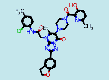 CCc1c(N2CCN(C(=O)c3nc(C)ccc3O)CC2)c(=O)n2nc(-c3ccc4c(c3)CCO4)nc2n1CC(=O)Nc1ccc(C(F)(F)F)cc1Cl